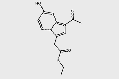 CCOC(=O)Cc1cc(C(C)=O)c2cc(O)ccn12